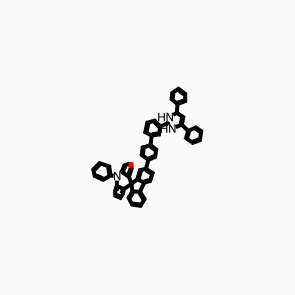 C1=C(c2ccccc2)NC(c2cccc(-c3ccc(-c4ccc5c(c4)C4(c6ccccc6-5)c5ccccc5N(c5ccccc5)c5ccccc54)cc3)c2)NC1c1ccccc1